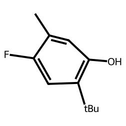 Cc1cc(O)c(C(C)(C)C)cc1F